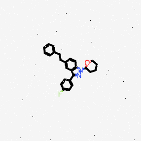 Fc1ccc(-c2nn(C3CCCCO3)c3ccc(CCc4ccccc4)cc23)cc1